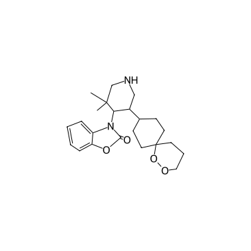 CC1(C)CNCC(C2CCC3(CCCOO3)CC2)C1n1c(=O)oc2ccccc21